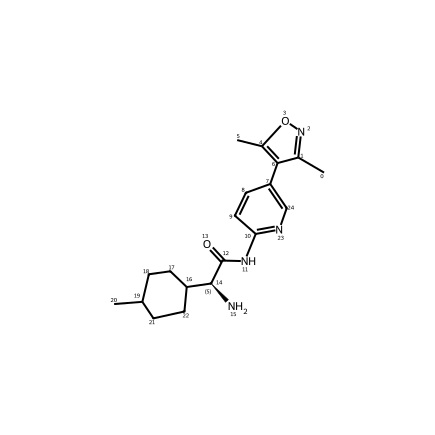 Cc1noc(C)c1-c1ccc(NC(=O)[C@@H](N)C2CCC(C)CC2)nc1